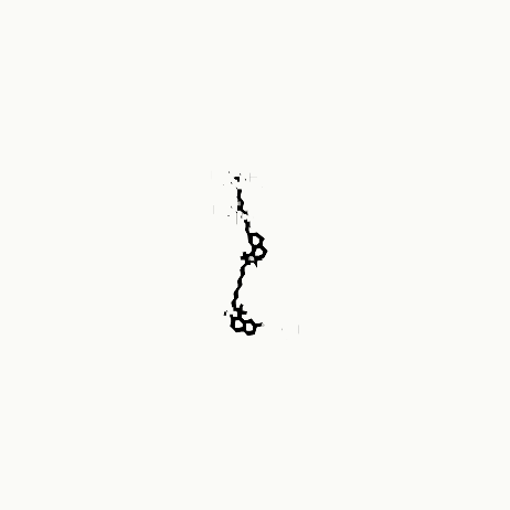 CN1/C(=C/C=C/C=C/C=C/C2=[N+](C)c3ccc4ccc(CC(=O)NC(=O)[C@@H](N)CCCNC(N)N)cc4c3C2(C)C)C(C)(C)c2c1ccc1ccc(CC(=O)O)cc21